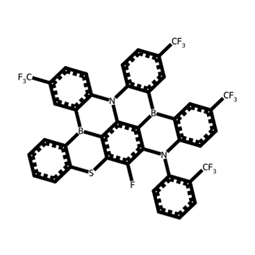 Fc1c2c3c4c5c1N(c1ccccc1C(F)(F)F)c1ccc(C(F)(F)F)cc1B5c1cc(C(F)(F)F)ccc1N4c1ccc(C(F)(F)F)cc1B3c1ccccc1S2